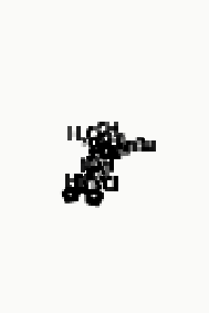 CCCCSC[C@@]12C[C@@H]1[C@@H](n1cnc3c(NC(C4CCCC4)C4CCCC4)nc(Cl)nc31)[C@@H]1OC(C)(C)O[C@@H]12